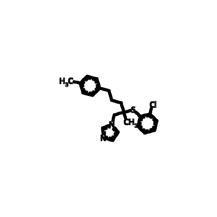 Cc1ccc(CCCC(C)(Cn2ccnc2)Sc2ccccc2Cl)cc1